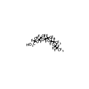 O=C(O)C(F)(OC(F)(F)C(F)(OC(F)(F)C(F)(OC(F)(F)C(F)(OC(F)(F)C(F)(F)C(F)(F)F)C(F)(F)F)C(F)(F)F)C(F)(F)F)C(F)(F)F